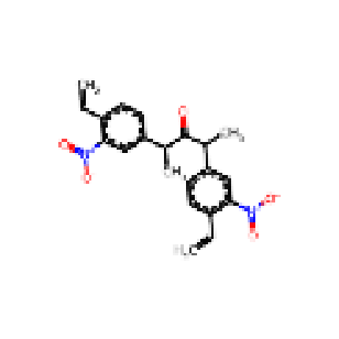 C=Cc1ccc(C(C)C(=O)C(C)c2ccc(C=C)c([N+](=O)[O-])c2)cc1[N+](=O)[O-]